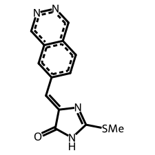 CSC1=N/C(=C\c2ccc3cnncc3c2)C(=O)N1